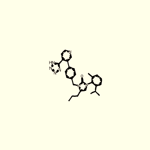 CCCc1cn(-c2c(C)cccc2C(C)C)c(=O)n1Cc1ccc(-c2cnccc2-c2nnn[nH]2)cc1